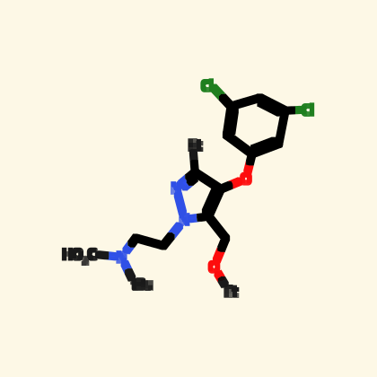 CCOCc1c(Oc2cc(Cl)cc(Cl)c2)c(CC)nn1CCN(C(=O)O)C(C)(C)C